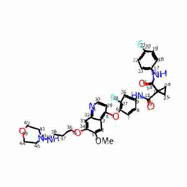 COc1cc2c(Oc3ccc(NC(=O)C4(C(=O)Nc5ccc(F)cc5)CC4)cc3F)ccnc2cc1OCCCNN1CCOCC1